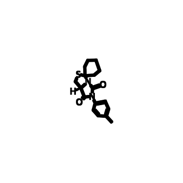 Cc1ccc(N2C(=O)[C@@H]3CSC4(CCCCC4)N3C2=O)cc1